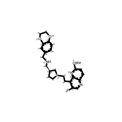 COc1ccc2ncc(F)c(CCN3CC[C@@H](CNCc4ccc5c(c4)OCCO5)C3)c2n1